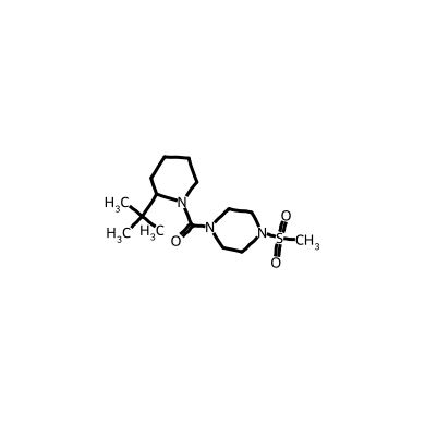 CC(C)(C)C1CCCCN1C(=O)N1CCN(S(C)(=O)=O)CC1